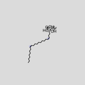 CCCCCCCC/C=C\CCCCCCCC/C=C\CCCC(O)(C[N+](C)(C)C)P(=O)(O)O